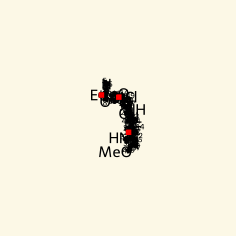 CCC(CCN(C)C)C(=O)N1CCN(C(=O)c2ccc(NC(=O)c3ncc(-c4ccc(/C(C(C)=N)=C(\C)N(C)CCOC)c(F)c4F)n3C)cc2Cl)CC1